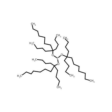 CCCCCCCC(CCCC)(CCCC)OP(OC(CCCC)(CCCC)CCCCCCC)OC(CCCC)(CCCC)CCCCCCC